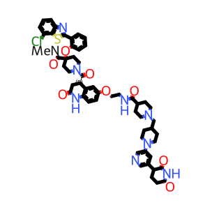 CNC(=O)C1(Oc2ccccc2-c2nc3cccc(Cl)c3s2)CCN(C(=O)[C@H]2CC(=O)Nc3ccc(OCCNC(=O)C4CCN(CC5CCN(c6cncc(C7CCC(=O)NC7=O)c6)CC5)CC4)cc32)CC1